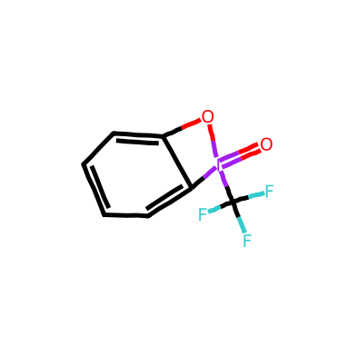 O=I1(C(F)(F)F)Oc2ccccc21